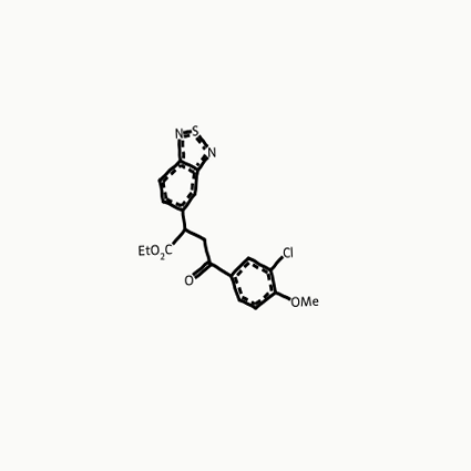 CCOC(=O)C(CC(=O)c1ccc(OC)c(Cl)c1)c1ccc2nsnc2c1